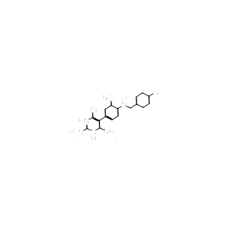 CCC1=C(C2=CCC(NCC3CCC(Br)CC3)C([N+](=O)[O-])C2)C(N)NC(N)N1